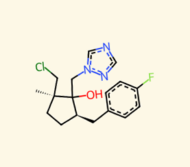 C[C@@]1(CCl)CC[C@H](Cc2ccc(F)cc2)C1(O)Cn1cncn1